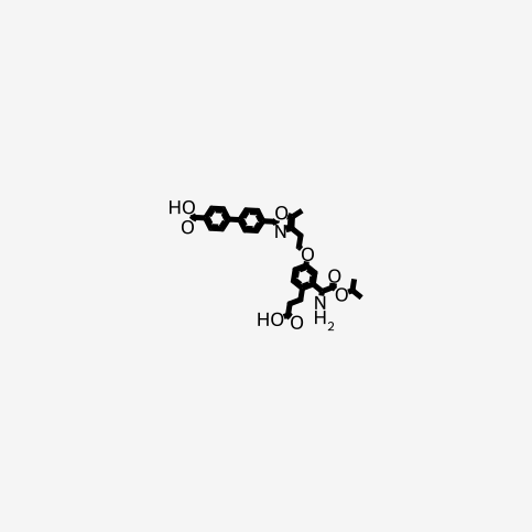 Cc1oc(-c2ccc(-c3ccc(C(=O)O)cc3)cc2)nc1CCOc1ccc(CCC(=O)O)c(C(N)C(=O)OC(C)C)c1